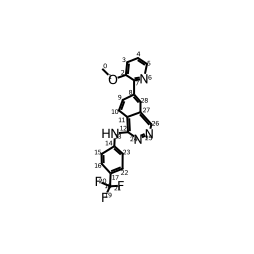 COc1cccnc1-c1ccc2c(Nc3ccc(C(F)(F)F)cc3)nncc2c1